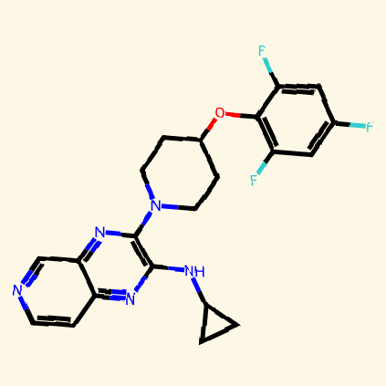 Fc1cc(F)c(OC2CCN(c3nc4cnccc4nc3NC3CC3)CC2)c(F)c1